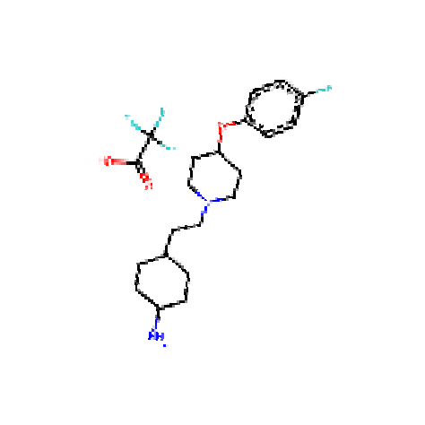 NC1CCC(CCN2CCC(Oc3ccc(F)cc3)CC2)CC1.O=C(O)C(F)(F)F